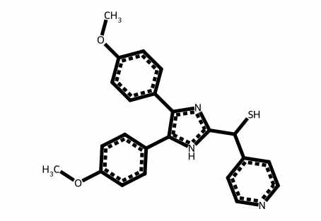 COc1ccc(-c2nc(C(S)c3ccncc3)[nH]c2-c2ccc(OC)cc2)cc1